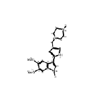 COc1cc2c(-c3cc(CN4CCN(C)CC4)c[nH]3)cn(C)c2cc1OC